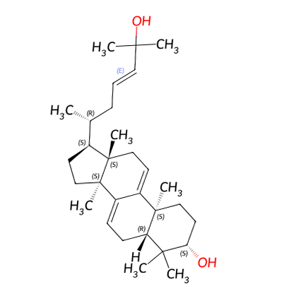 C[C@H](C/C=C/C(C)(C)O)[C@@H]1CC[C@]2(C)C3=CC[C@H]4C(C)(C)[C@@H](O)CC[C@]4(C)C3=CC[C@@]12C